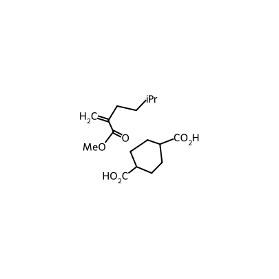 C=C(CCC(C)C)C(=O)OC.O=C(O)C1CCC(C(=O)O)CC1